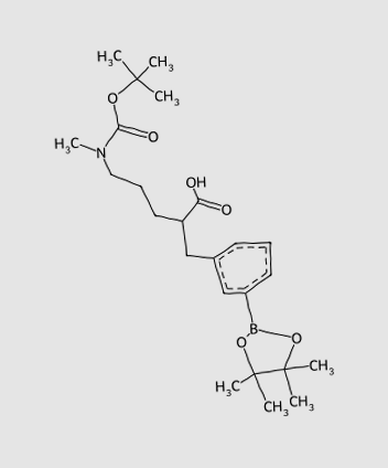 CN(CCCC(Cc1cccc(B2OC(C)(C)C(C)(C)O2)c1)C(=O)O)C(=O)OC(C)(C)C